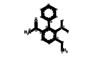 CN(C)c1c(CN)ccc(C(N)=O)c1-c1ccccc1